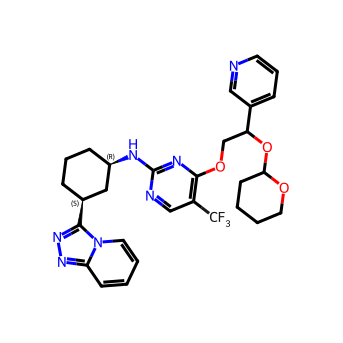 FC(F)(F)c1cnc(N[C@@H]2CCC[C@H](c3nnc4ccccn34)C2)nc1OCC(OC1CCCCO1)c1cccnc1